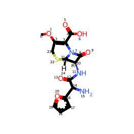 COC1=C(C(=O)O)N2C(=O)[C@@H](NC(=O)C(N)c3ccco3)[C@@H]2SC1